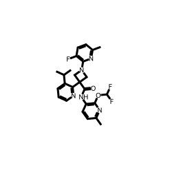 Cc1ccc(NC(=O)C2(c3ncccc3C(C)C)CN(c3nc(C)ccc3F)C2)c(OC(F)F)n1